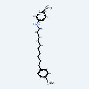 COc1ccc(CCCCCCCCCCNc2ccc(C=O)cc2)cc1